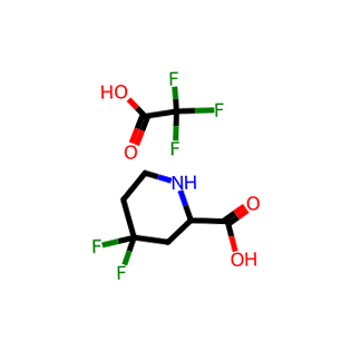 O=C(O)C(F)(F)F.O=C(O)C1CC(F)(F)CCN1